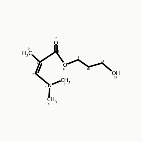 CC(=CN(C)C)C(=O)OCCCO